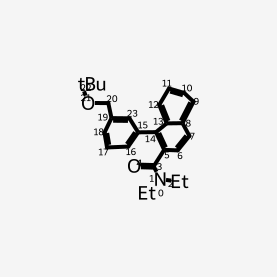 CCN(CC)C(=O)c1ccc2ccccc2c1-c1cccc(COC(C)(C)C)c1